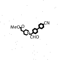 COC(=O)CC1CCN(C(C=O)c2ccc(-c3ccc(C#N)cc3)cc2)CC1